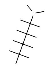 CN(C)C(C)(C)C(C)(C)C(C)(C)C(C)(C)C